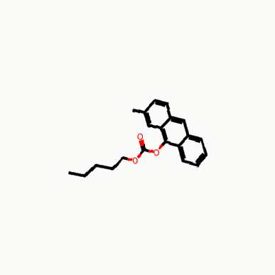 CCCCCOC(=O)Oc1c2ccccc2cc2ccc(C)cc12